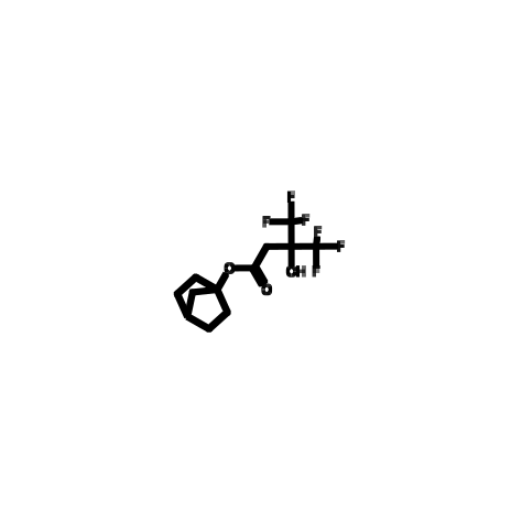 O=C(CC(O)(C(F)(F)F)C(F)(F)F)OC12CCC(CC1)C2